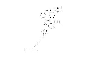 CC(C)COC(=O)CCCCCCn1cc(-c2cnc(N)c3c(-c4ccc(NS(=O)(=O)C(F)F)c(O[C@@H](C)c5ccc(F)cc5)c4)nn(C)c23)cn1